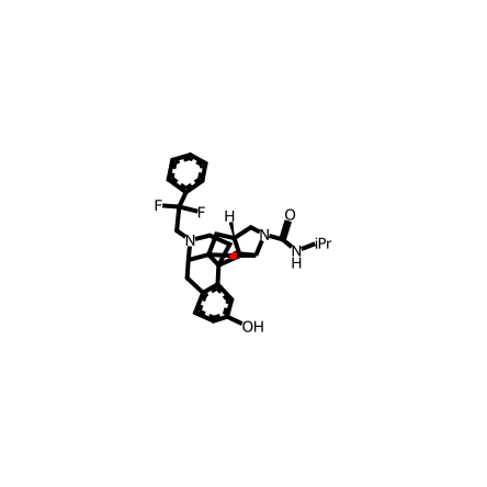 CC(C)NC(=O)N1C[C@H]2CC34CCC1C2C31CCN(CC(F)(F)c2ccccc2)C4Cc2ccc(O)cc21